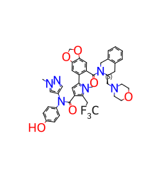 Cn1cc(N(C(=O)c2cc(-c3cc4c(cc3C(=O)N3Cc5ccccc5C[C@H]3CN3CCOCC3)OCO4)n(C)c2CC(F)(F)F)c2ccc(O)cc2)cn1